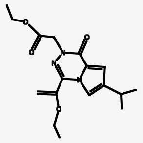 C=C(OCC)c1nn(CC(=O)OCC)c(=O)c2cc(C(C)C)cn12